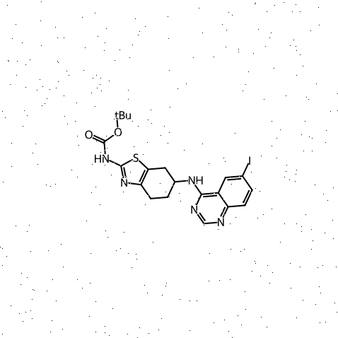 CC(C)(C)OC(=O)Nc1nc2c(s1)CC(Nc1ncnc3ccc(I)cc13)CC2